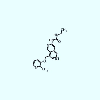 CCNC(=O)Nc1cc2cccc(COc3cccnc3C)c2cn1.Cl